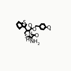 COc1ccc(COC(=O)C2=C(c3csc4ccccc34)CS[C@H]3[C@H](N)C(=O)N23)cc1